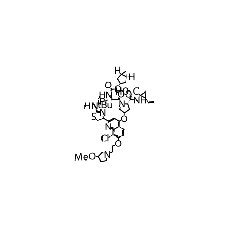 C=C[C@@H]1CC1(NC(=O)[C@@H]1C[C@@H](Oc2cc(C3CSC(NC(C)C)=N3)nc3c(Cl)c(OCCN4CC[C@@H](OC)C4)ccc23)CN1C(=O)[C@@H](NC(=O)O[C@@H]1C[C@@H]2C[C@@H]2C1)C(C)(C)C)C(=O)O